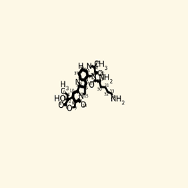 CC[C@@]1(O)C(=O)OCc2c1cc1n(c2=O)Cc2cc3c(N(C(=O)[C@H](C)N)C(=O)[C@@H](N)CCCCN)cccc3nc2-1